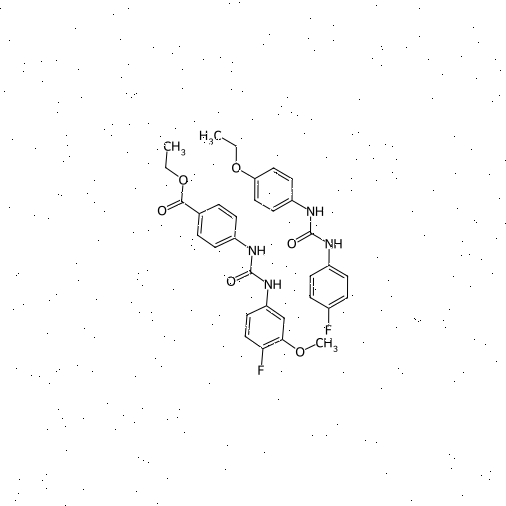 CCOC(=O)c1ccc(NC(=O)Nc2ccc(F)c(OC)c2)cc1.CCOc1ccc(NC(=O)Nc2ccc(F)cc2)cc1